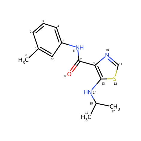 Cc1cccc(NC(=O)c2ncsc2NC(C)C)c1